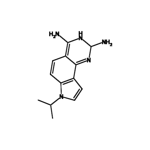 CC(C)n1ccc2c3c(ccc21)=C(N)NC(N)N=3